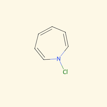 ClN1C=CC=CC=C1